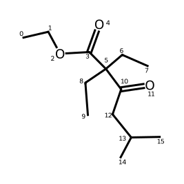 CCOC(=O)C(CC)(CC)C(=O)CC(C)C